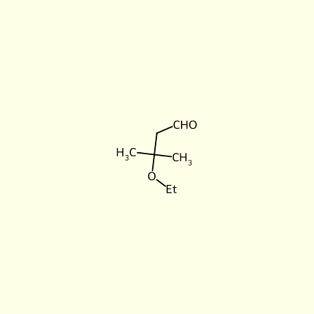 CCOC(C)(C)CC=O